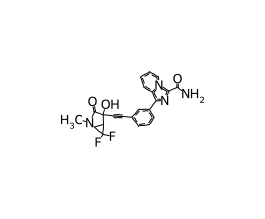 CN1C(=O)C(O)(C#Cc2cccc(-c3nc(C(N)=O)n4ccccc34)c2)C2C1C2(F)F